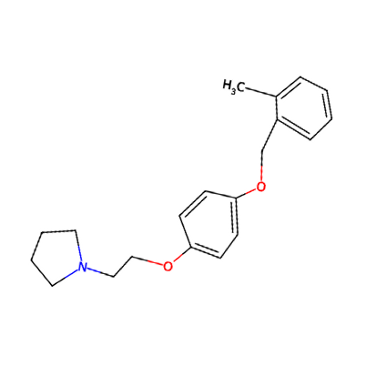 Cc1ccccc1COc1ccc(OCCN2CCCC2)cc1